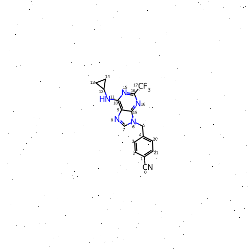 N#Cc1ccc(Cn2cnc3c(NC4CC4)nc(C(F)(F)F)nc32)cc1